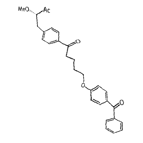 CO[C@@H](Cc1ccc(C(=O)CCCCOc2ccc(C(=O)c3ccccc3)cc2)cc1)C(C)=O